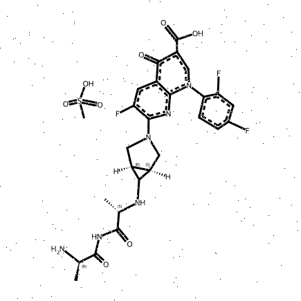 CS(=O)(=O)O.C[C@H](NC1[C@H]2CN(c3nc4c(cc3F)c(=O)c(C(=O)O)cn4-c3ccc(F)cc3F)C[C@@H]12)C(=O)NC(=O)[C@@H](C)N